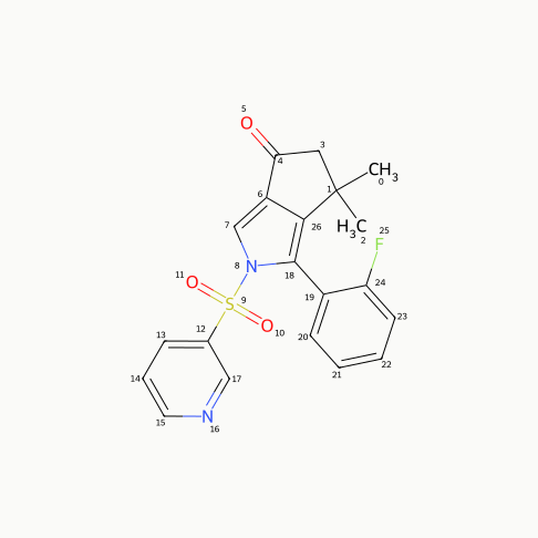 CC1(C)CC(=O)c2cn(S(=O)(=O)c3cccnc3)c(-c3ccccc3F)c21